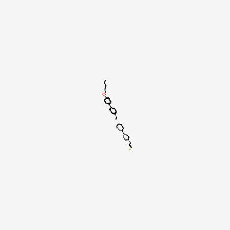 CCCCCOc1ccc(-c2ccc(CC[C@H]3CC[C@H]([C@H]4CC[C@H](CCCF)CC4)CC3)cc2)cc1